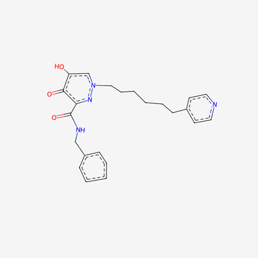 O=C(NCc1ccccc1)c1nn(CCCCCCc2ccncc2)cc(O)c1=O